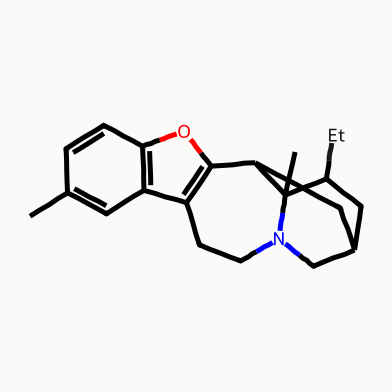 CCC1CC2CC3c4oc5ccc(C)cc5c4CCN(C2)C13C